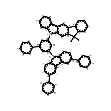 CC1(C)c2ccccc2-c2cc3c4ccccc4n(-c4cc(-c5ccccc5)cc(-n5c6ccc(-c7ccccc7)cc6c6cc(-c7ccccc7)ccc65)c4)c3cc21